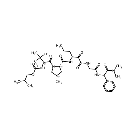 CCCC(NC(=O)[C@@H]1C[C@H](C)CN1C(=O)[C@@H](NC(=O)OCC(C)C)C(C)(C)C)C(=O)C(=O)NCC(=O)NC(C(=O)N(C)C)c1ccccc1